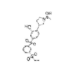 CCS(=O)(=O)c1cccc(S(=O)(=O)c2ccc(C3CCN(B(C)O)C3)c(O)c2)c1